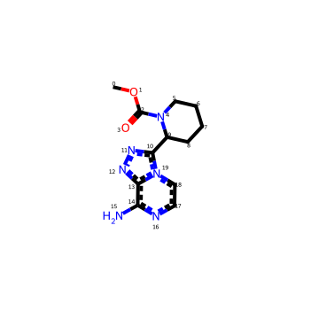 COC(=O)N1CCCCC1c1nnc2c(N)nccn12